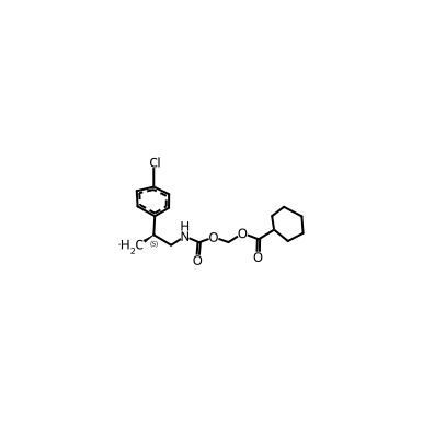 [CH2][C@H](CNC(=O)OCOC(=O)C1CCCCC1)c1ccc(Cl)cc1